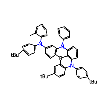 Cc1ccccc1N(c1ccc(C(C)(C)C)cc1)c1ccc2c(c1)N(c1ccccc1)c1cccc3c1B2c1cc(C(C)(C)C)ccc1N3c1ccc(C(C)(C)C)cc1